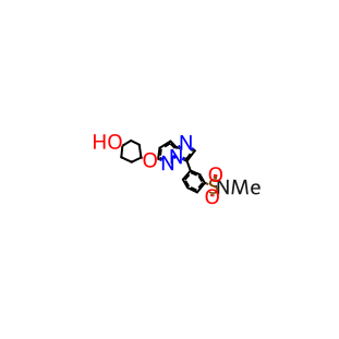 CNS(=O)(=O)c1cccc(-c2cnc3ccc(OC4CCC(O)CC4)nn23)c1